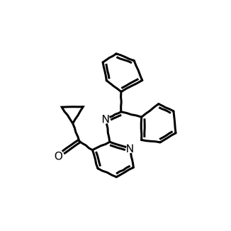 O=C(c1cccnc1N=C(c1ccccc1)c1ccccc1)C1CC1